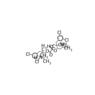 CC(N)CC(OC(=O)C(=O)OC(CC(C)N)C(C)(C)Cc1cc(Cl)cc(Cl)c1)C(C)(C)Cc1cc(Cl)cc(Cl)c1